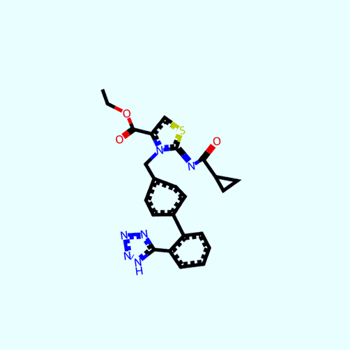 CCOC(=O)c1csc(=NC(=O)C2CC2)n1Cc1ccc(-c2ccccc2-c2nnn[nH]2)cc1